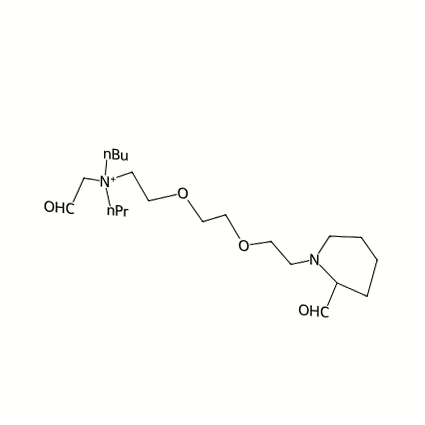 CCCC[N+](CC=O)(CCC)CCOCCOCCN1CCCCC1C=O